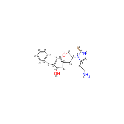 NCCC1=C[N]C(=S)N1[C@H]1COc2cc(Cc3ccccc3)c(O)cc2C1